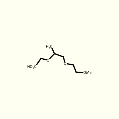 COCCOCC(C)OCC(=O)O